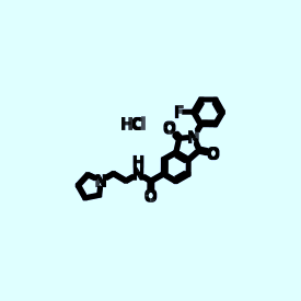 Cl.O=C(NCCN1CCCC1)c1ccc2c(c1)C(=O)N(c1ccccc1F)C2=O